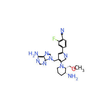 COC[C@@H]1[C@H](N)CCCN1c1cnc(-c2ccc(C#N)c(F)c2)cc1Cn1cnc2c(N)ncnc21